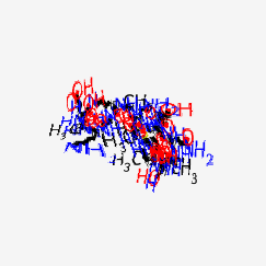 CSCC[C@H](NC(=O)[C@@H](N)CO)C(=O)N[C@@H](CCC(N)=O)C(=O)N[C@@H](C)C(=O)N[C@@H](CO)C(=O)N[C@@H](CC(C)C)C(=O)N[C@@H](CCC(=O)O)C(=O)N[C@@H](C)C(=O)N[C@@H](CCC(N)=O)C(=O)N[C@@H](C)C(=O)N[C@@H](CCCCN)C(=O)NCC(=O)N[C@@H](CCCCN)C(=O)N[C@@H](C)C(=O)N[C@@H](CCC(=O)O)C(=O)O